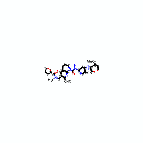 CO[C@H]1CCOC[C@@H]1Nc1cc(NC(=O)N2CCCc3cc(CN(C)C(=O)[C@H]4CCCO4)c(C=O)nc32)ncc1C#N